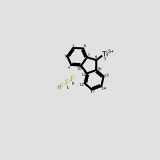 [F-].[F-].[F-].[Ti+3][CH]1c2ccccc2-c2ccccc21